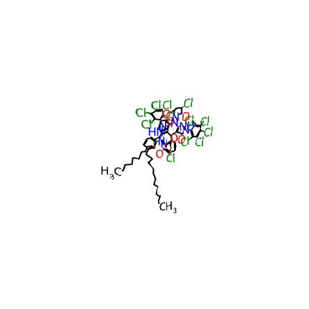 CCCCCCCCCCCCc1cccc(N(c2[nH]n(-c3c(Cl)c(Cl)c(Cl)c(Cl)c3Cl)c(=O)c2C(c2ccccc2)c2c(N(c3cccc(CCCCCCCCCCCC)c3)N3C(=O)CC(Cl)C3=O)[nH]n(-c3c(Cl)c(Cl)c(Cl)c(Cl)c3Cl)c2=O)N2C(=O)CC(Cl)C2=O)c1